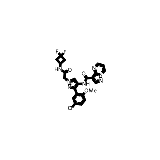 COc1ccc(Cl)cc1-c1nn(CC(=O)NC2CC(F)(F)C2)cc1NC(=O)c1cnn2cccnc12